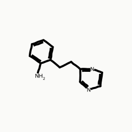 Nc1ccccc1CCc1cnccn1